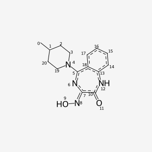 CC1CCN(c2nc(=NO)c(=O)[nH]c3ccccc23)CC1